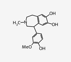 COc1cc(C2CN(C)CCc3cc(O)c(O)cc32)ccc1O